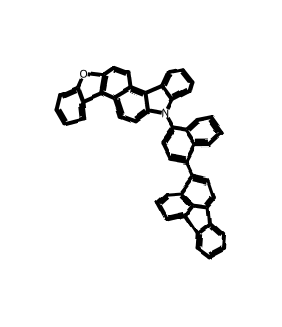 c1ccc2c(c1)-c1cccc3c(-c4ccc(-n5c6ccccc6c6c7ccc8oc9ccccc9c8c7ccc65)c5ccccc45)ccc-2c13